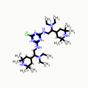 CCN(CC)C(CNc1nc(Cl)nc(NCC(C2CC(C)(C)NC(C)(C)C2)N(CC)CC)n1)C1CC(C)(C)NC(C)(C)C1